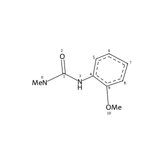 CNC(=O)Nc1[c]cccc1OC